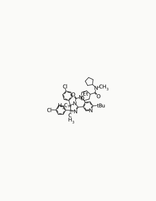 CCOc1cc(C(C)(C)C)ncc1C1=N[C@@](C)(c2ccc(Cl)cc2)[C@@](C)(c2ccc(Cl)cc2)N1C(=O)N1CCC(C(=O)N(C)C2CCCC2)CC1